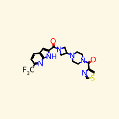 O=C(c1cscn1)N1CCN(C2CN(C(=O)c3cc4ccc(C(F)(F)F)nc4[nH]3)C2)CC1